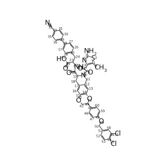 Cc1sc(N)nc1S(=O)(=O)N1Cc2cc3c(cc2CC1C(=O)NC(Cc1ccc(-c2ccc(C#N)cc2)cc1)C(=O)O)OCC(c1ccc(OCc2ccc(Cl)c(Cl)c2)cc1)O3